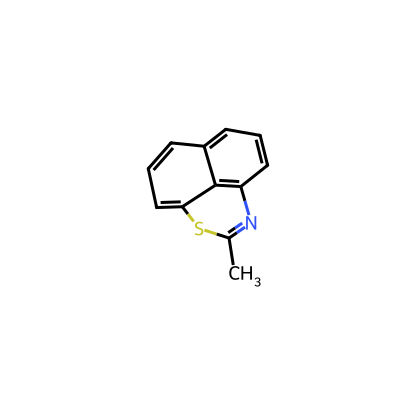 CC1=Nc2cccc3cccc(c23)S1